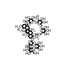 C[C@@H]1CC[C@]2(C(=O)O[C@@H]3O[C@H](CO[C@@H]4O[C@H](CO[C@@H]5O[C@H](CO)[C@@H](O)[C@H](O)[C@H]5O)[C@@H](O)[C@H](O)[C@H]4O)[C@@H](O)[C@H](O)[C@H]3O)CC[C@]3(C)C(=CCC4[C@@]5(C)CCC(O[C@@H]6OC[C@H](O)[C@H](O[C@@H]7O[C@H](CO)[C@@H](O)[C@H](O)[C@H]7O)[C@H]6O[C@@H]6O[C@@H](C)[C@@H](O)[C@@H](O)[C@H]6O)C(C)(C)C5CC[C@]43C)C2[C@H]1C